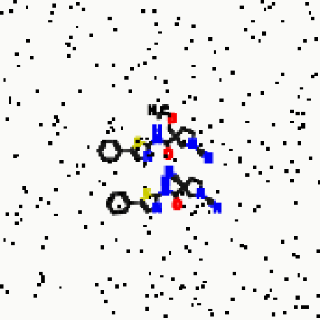 COCC1(C(=O)Nc2ncc(-c3ccccc3)s2)CCN(C#N)C1.N#CN1CCC(C#N)(C(=O)Nc2ncc(-c3ccccc3)s2)C1